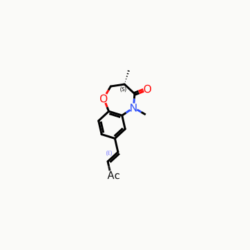 CC(=O)/C=C/c1ccc2c(c1)N(C)C(=O)[C@@H](C)CO2